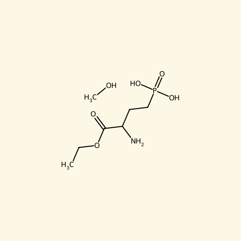 CCOC(=O)C(N)CCP(=O)(O)O.CO